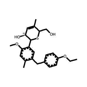 CCOc1ccc(Cc2cc(C3SC(CO)C(C)=C[C@@H]3O)c(OC)cc2C)cc1